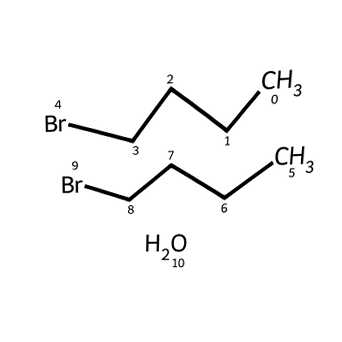 CCCCBr.CCCCBr.O